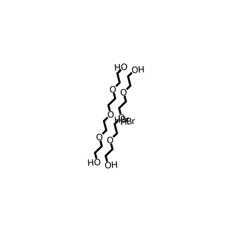 Br.Br.OCCOCCOCCOCCO.OCCOCCOCCOCCO